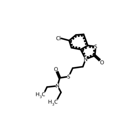 CCN(CC)C(=O)SCCn1c(=O)sc2ccc(Cl)cc21